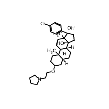 C[C@]12CC[C@H](OCCN3CCCC3)C[C@H]1CC[C@@H]1[C@@H]2CC[C@]2(C)[C@@](O)(c3ccc(Cl)cc3)CC[C@]12O